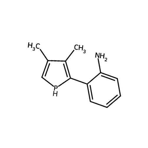 Cc1c[pH]c(-c2ccccc2N)c1C